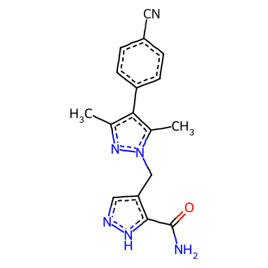 Cc1nn(Cc2cn[nH]c2C(N)=O)c(C)c1-c1ccc(C#N)cc1